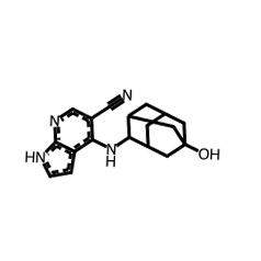 N#Cc1cnc2[nH]ccc2c1NC1C2CC3CC1CC(O)(C3)C2